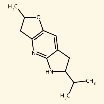 CC1Cc2nc3c(cc2O1)CC(C(C)C)N3